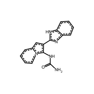 NC(=O)Nc1c(-c2nc3ccccc3[nH]2)cc2ccccn12